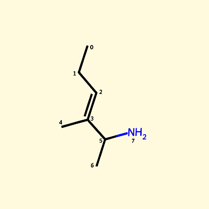 CC/C=C(\C)C(C)N